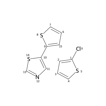 Clc1cccs1.c1csc(-c2cncs2)c1